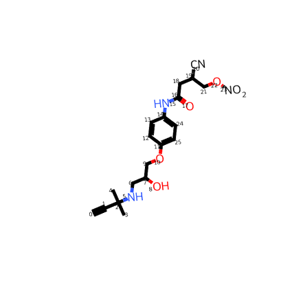 C#CC(C)(C)NCC(O)COc1ccc(NC(=O)CC(C#N)CO[N+](=O)[O-])cc1